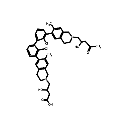 CC(=O)CC(O)CN1CCc2cc(-c3cccc(-c4cccc(-c5cc6c(cc5C)CN(CC(O)CC(=O)O)CC6)c4Cl)c3Cl)c(C)cc2C1